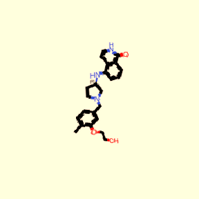 Cc1ccc(CN2CC[C@@H](Nc3cccc4c(=O)[nH]ccc34)C2)cc1OCCO